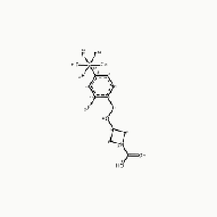 O=C(O)N1CC(OCc2ccc(S(F)(F)(F)(F)F)cc2F)C1